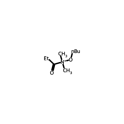 CCCCO[N+](C)(C)C(=O)CC